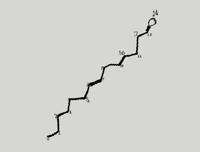 CCCCCC/C=C/CCCCCC=O